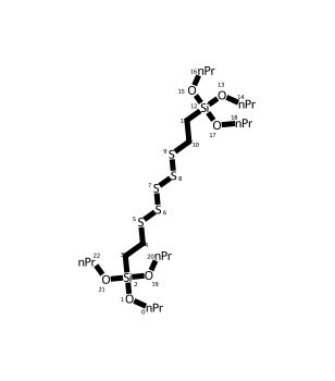 CCCO[Si](CCSSSSSCC[Si](OCCC)(OCCC)OCCC)(OCCC)OCCC